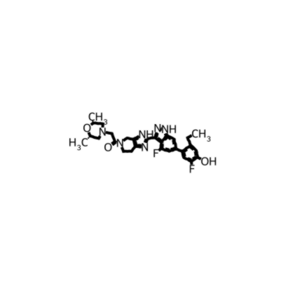 CCc1cc(O)c(F)cc1-c1cc(F)c2c(-c3nc4c([nH]3)CN(C(=O)CN3C[C@@H](C)O[C@@H](C)C3)CC4)n[nH]c2c1